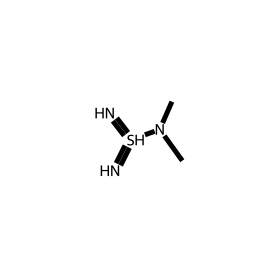 CN(C)[SH](=N)=N